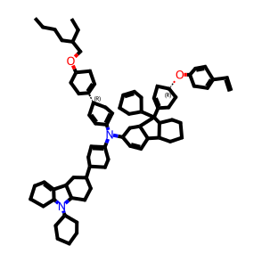 C=CC1=CCC(O[C@H]2CC=C(C3(C4CC=CCC4)C4CC(N(C5=CC[C@@H](C6=CCC(OCC(CC)CCCC)CC6)C=C5)C5=CCC(C6CCC7C(C6)C6=CCCCC6N7C6CCCCC6)CC5)C=CC4C4CCCCC43)CC2)C=C1